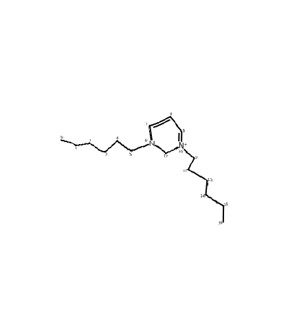 CCCCCCN1C=CC=[N+](CCCCCC)C1